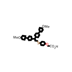 COc1ccc(-c2ccc(C(=CCSc3ccc(OCC(=O)O)cc3)c3ccc(-c4ccc(OC)cc4)cc3)cc2)cc1